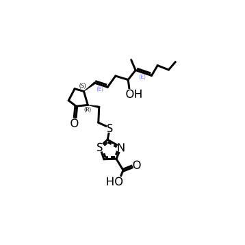 CCC/C=C(\C)C(O)C/C=C/[C@@H]1CCC(=O)[C@@H]1CCSc1nc(C(=O)O)cs1